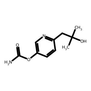 CC(C)(O)Cc1ccc(OC(N)=O)cn1